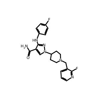 NC(=O)c1cn(C2CCN(Cc3cccnc3F)CC2)nc1Nc1ccc(F)cc1